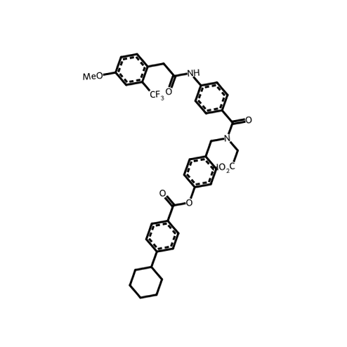 COc1ccc(CC(=O)Nc2ccc(C(=O)N(CC(=O)O)Cc3ccc(OC(=O)c4ccc(C5CCCCC5)cc4)cc3)cc2)c(C(F)(F)F)c1